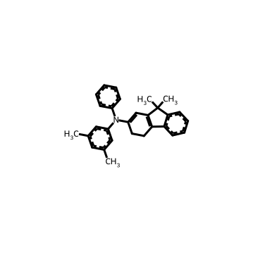 Cc1cc(C)cc(N(C2=CC3=C(CC2)c2ccccc2C3(C)C)c2ccccc2)c1